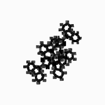 c1cc(-n2c3ccccc3c3ccccc32)nc(-n2c3ccccc3c3cccc(-n4c5ccccc5c5cccc(-c6nc(-n7c8ccccc8c8ccccc87)nc(-n7c8ccccc8c8ccccc87)n6)c54)c32)c1